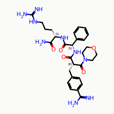 N=C(N)NCCC[C@H](NC(=O)[C@@H](NC(=O)[C@@H](Cc1ccc(C(=N)N)cc1)C(=O)N1CCOCC1)c1ccccc1)C(N)=O